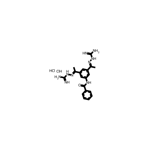 CC(=NNC(=N)N)c1cc(NC(=O)c2ccccc2)cc(C(C)=NNC(=N)N)c1.Cl.Cl